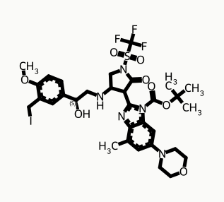 COc1ccc([C@H](O)CNC2CN(S(=O)(=O)C(F)(F)F)C(=O)C2c2nc3c(C)cc(N4CCOCC4)cc3n2C(=O)OC(C)(C)C)cc1CI